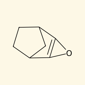 C1CC2CC1C1=C2O1